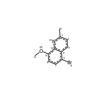 [CH2]c1ccc2c(Br)ccc(OC)c2n1